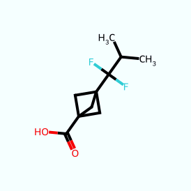 CC(C)C(F)(F)C12CC(C(=O)O)(C1)C2